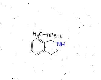 CCCCCC.c1ccc2c(c1)CCNC2